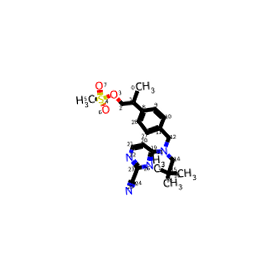 CC(COS(C)(=O)=O)c1ccc(CN(CC(C)(C)C)c2ccnc(C#N)n2)cc1